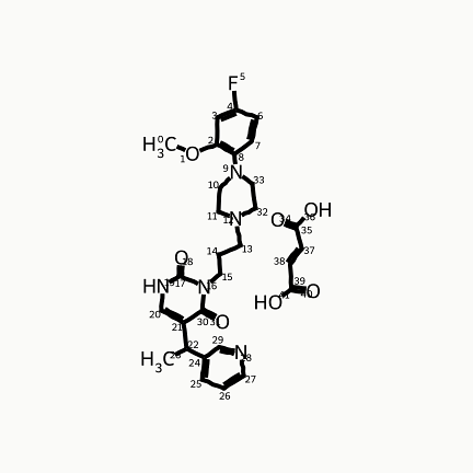 COc1cc(F)ccc1N1CCN(CCCn2c(=O)[nH]cc(C(C)c3cccnc3)c2=O)CC1.O=C(O)/C=C/C(=O)O